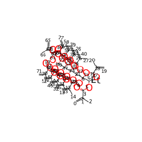 C=C(C)C(=O)OC(CC)C(OC(=O)C(=C)C)(OC(=O)C(=C)C)C(OC(=O)C(=C)C)(OC(=O)C(=C)C)C(OC(=O)C(=C)C)(OC(=O)C(=C)C)C(OC(=O)C(=C)C)(OC(=O)C(=C)C)C(OC(=O)C(=C)C)(OC(=O)C(=C)C)OC(=O)C(=C)C